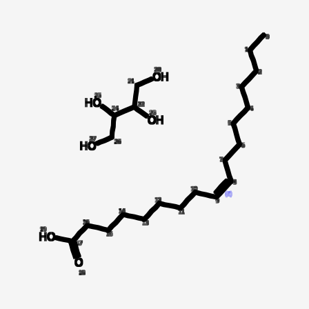 CCCCCCCC/C=C\CCCCCCCC(=O)O.OCC(O)C(O)CO